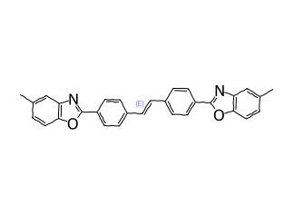 Cc1ccc2oc(-c3ccc(/C=C/c4ccc(-c5nc6cc(C)ccc6o5)cc4)cc3)nc2c1